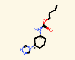 CCCCOC(=O)N[C@H]1CCC[C@@H](n2cnnc2)C1